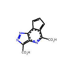 O=C(O)C1=c2nc(C(=O)O)c3c(c2N=N1)C=CC=3